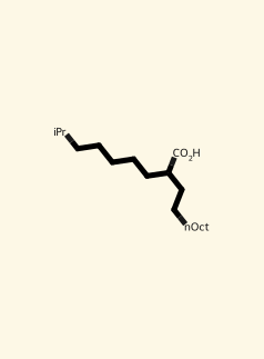 CCCCCCCCCCC(CCCCCC(C)C)C(=O)O